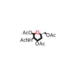 CC(=O)N[C@H]1C(OC(C)=O)O[C@H](COC(C)=O)C[C@@H]1OC(C)=O